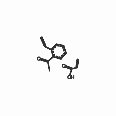 C=CC(=O)O.C=Cc1ccccc1C(C)=O